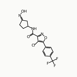 O=C(NC1CCC(=NO)C1)c1noc(-c2ccc(C(F)(F)F)cc2)c1Cl